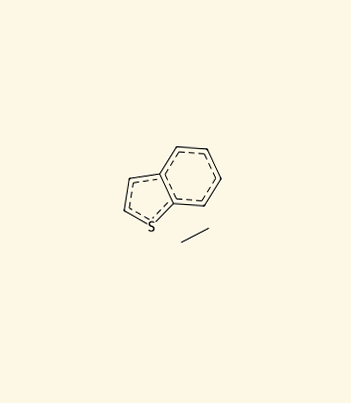 CC.c1ccc2sccc2c1